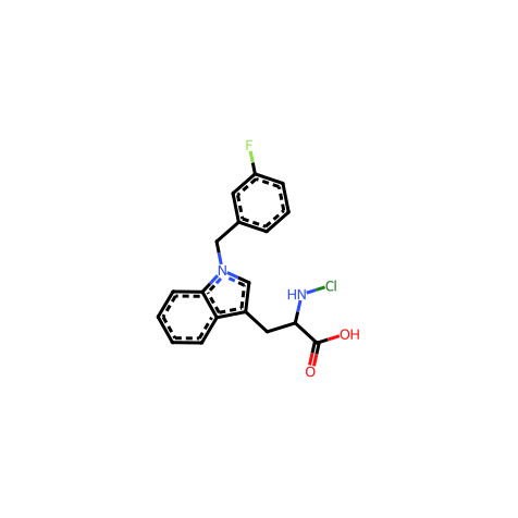 O=C(O)C(Cc1cn(Cc2cccc(F)c2)c2ccccc12)NCl